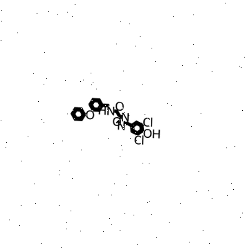 O=C(NCc1cccc(Oc2ccccc2)c1)c1nc(-c2cc(Cl)c(O)c(Cl)c2)no1